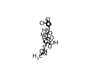 Cc1nnc(SCC2=C(C(=O)O)N3C(=O)C(NC(=O)NCc4ccc(Cl)c(Cl)c4)[C@H]3SC2)o1